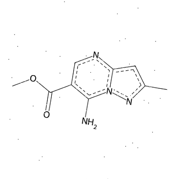 COC(=O)c1cnc2cc(C)nn2c1N